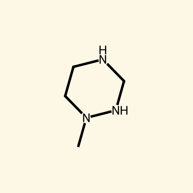 CN1CCNCN1